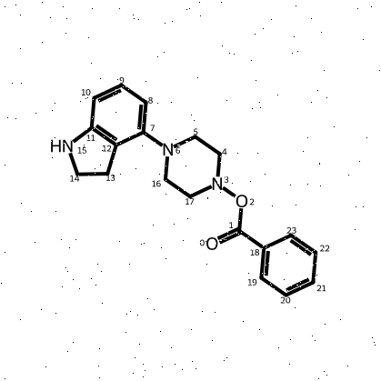 O=C(ON1CCN(c2cccc3c2CCN3)CC1)c1ccccc1